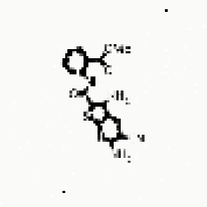 COC(=O)c1ccccc1NC(=O)c1sc2nc(N)c(C#N)cc2c1N